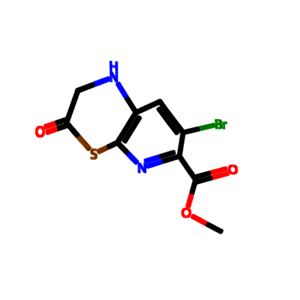 COC(=O)c1nc2c(cc1Br)NCC(=O)S2